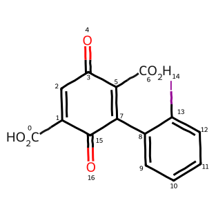 O=C(O)C1=CC(=O)C(C(=O)O)=C(c2ccccc2I)C1=O